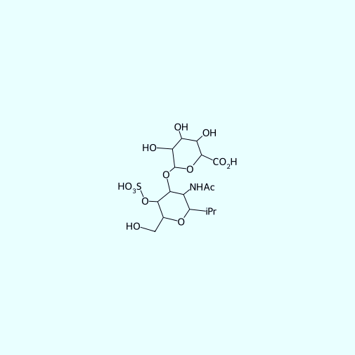 CC(=O)NC1C(C(C)C)OC(CO)C(OS(=O)(=O)O)C1OC1OC(C(=O)O)C(O)C(O)C1O